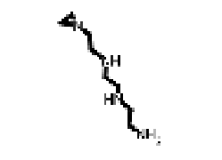 NCCNCCNCCN1CC1